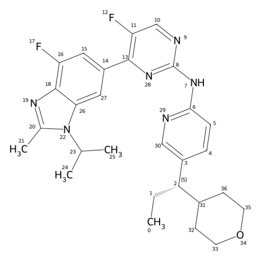 CC[C@H](c1ccc(Nc2ncc(F)c(-c3cc(F)c4nc(C)n(C(C)C)c4c3)n2)nc1)C1CCOCC1